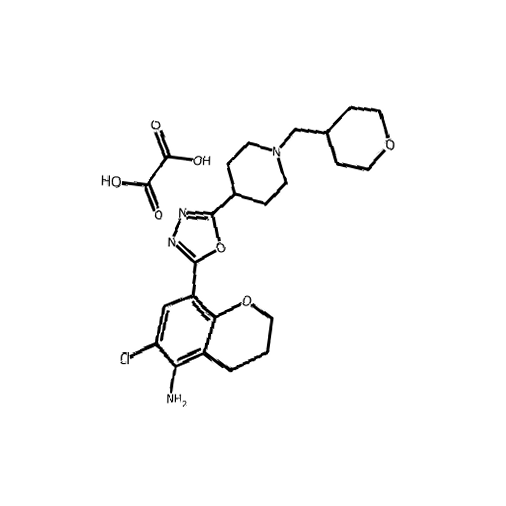 Nc1c(Cl)cc(-c2nnc(C3CCN(CC4CCOCC4)CC3)o2)c2c1CCCO2.O=C(O)C(=O)O